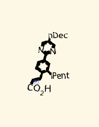 CCCCCCCCCCc1cnc(-c2ccc(/C=C/C(=O)O)c(C(C)CCC)c2)nc1